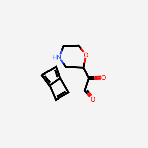 O=CC(=O)C1CNCCO1.c1cc2ccc1-2